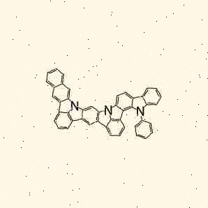 c1ccc(-n2c3ccccc3c3ccc4c(c5cccc6c7cc8c9cccc%10c%11cc%12ccccc%12cc%11n(c8cc7n4c65)c%109)c32)cc1